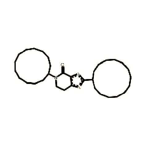 O=C1c2sc(C3CCCCCCCCCCCCC3)nc2CCN1C1CCCCCCCCCCCC1